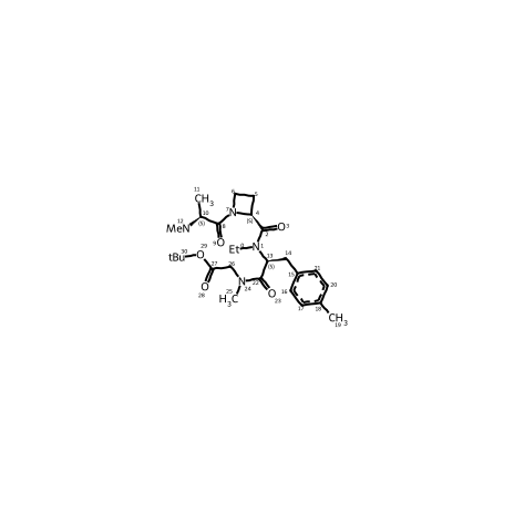 CCN(C(=O)[C@@H]1CCN1C(=O)[C@H](C)NC)[C@@H](Cc1ccc(C)cc1)C(=O)N(C)CC(=O)OC(C)(C)C